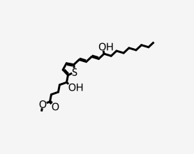 CCCCCCCCC(O)/C=C/C=C/c1ccc(C(O)CCCC(=O)OC)s1